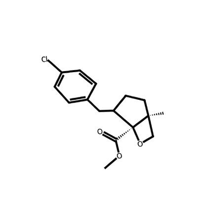 COC(=O)[C@@]12OC[C@]1(C)CCC2Cc1ccc(Cl)cc1